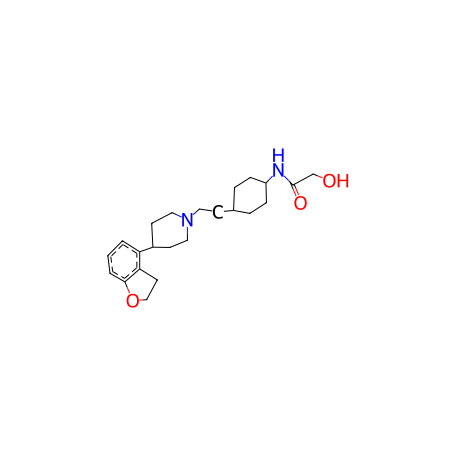 O=C(CO)NC1CCC(CCN2CCC(c3cccc4c3CCO4)CC2)CC1